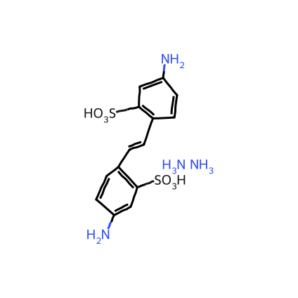 N.N.Nc1ccc(C=Cc2ccc(N)cc2S(=O)(=O)O)c(S(=O)(=O)O)c1